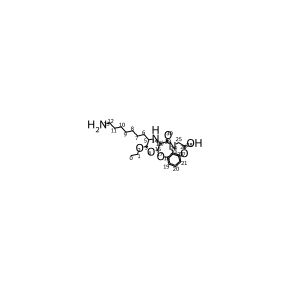 CCOC(=O)C(CCCCCCCN)N[C@H]1COc2ccccc2N(CC(=O)O)C1=O